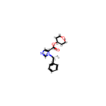 C[C@H](c1ccccc1)n1cncc1C(=O)OC1CCOCC1